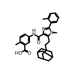 Cc1ccc(NC(=O)c2nc(-c3ccccc3C)n(C)c2CCC23CC4CC(CC(C4)C2)C3)cc1C(=O)O